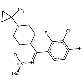 CC(C)(C)[S@@+]([O-])N=C(c1ccc(F)c(Cl)c1F)C1CCN(C2(C(F)(F)F)CC2)CC1